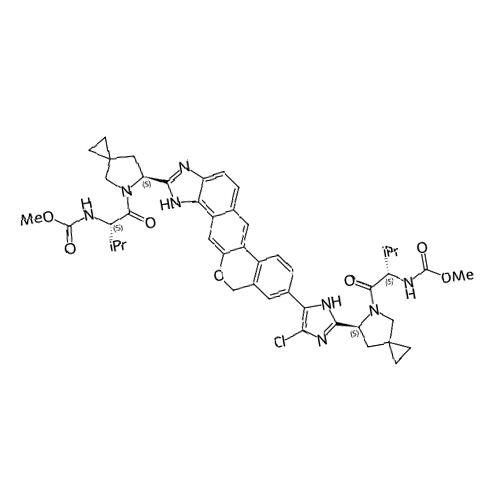 COC(=O)N[C@H](C(=O)N1CC2(CC2)C[C@H]1c1nc(Cl)c(-c2ccc3c(c2)COc2cc4c(ccc5nc([C@@H]6CC7(CC7)CN6C(=O)[C@@H](NC(=O)OC)C(C)C)[nH]c54)cc2-3)[nH]1)C(C)C